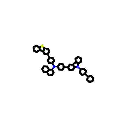 c1ccc(-c2ccc(-n3c4ccccc4c4cc(-c5ccc(N(c6ccc(-c7ccc8sc9ccccc9c8c7)cc6)c6cccc7ccccc67)cc5)ccc43)cc2)cc1